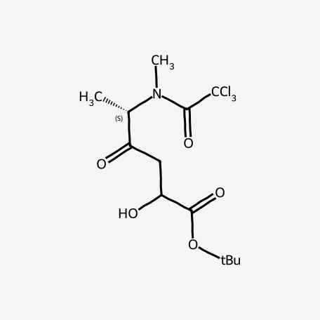 C[C@@H](C(=O)CC(O)C(=O)OC(C)(C)C)N(C)C(=O)C(Cl)(Cl)Cl